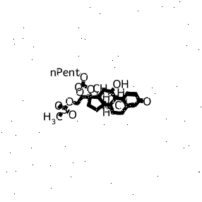 CCCCCOC(=O)O[C@]1(C(=O)COS(C)(=O)=O)CC[C@H]2[C@@H]3CCC4=CC(=O)C=C[C@]4(C)[C@H]3C(O)C[C@@]21C